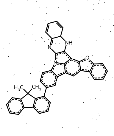 CC1(C)c2ccccc2-c2cccc(-c3ccc4c(c3)c3cc5c6ccccc6oc5c5c6c(n4c35)N=C3C=CC=CC3N6)c21